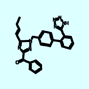 CCC=Cc1nc(C(=O)c2ccccc2)nn1Cc1ccc(-c2ccccc2-c2nnn[nH]2)cc1